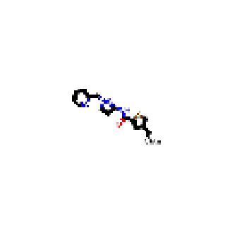 COCc1csc(C(=O)Nc2ccn(Cc3ccccn3)n2)c1